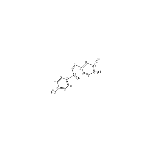 O=C(/C=C\c1ccc(Cl)c(Cl)c1)c1ccc(O)cc1